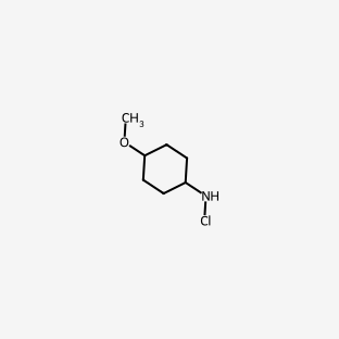 COC1CCC(NCl)CC1